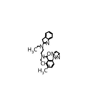 CCN(CCN(CC)C1=Nc2ccccc2C1)C(=O)c1cc(C)ccc1-n1nccn1